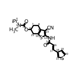 CC(C)N(C)C(=O)OC1CCc2c(sc(NC(=O)C=Cc3ccsc3)c2C#N)C1